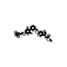 CCOC(=O)C[C@@H]1COc2cc(OCc3cccc(-c4c(C)cc(OCCCS(C)(=O)=O)cc4C)c3)ncc21